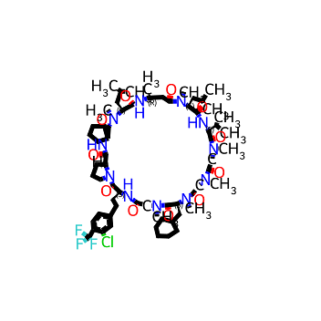 CC(C)C[C@H]1C(=O)N[C@@H](C(C)C)C(=O)N(C)CC(=O)N(C)CC(=O)N(C)[C@@H](CC2CCCCC2)C(=O)N(C)CC(=O)N[C@@H](CCc2ccc(C(F)(F)F)c(Cl)c2)C(=O)N2CCC[C@H]2C(=O)NC2(CCCC2)C(=O)N(C)[C@@H](CC(C)C)C(=O)N[C@H](C)CC(=O)N1C